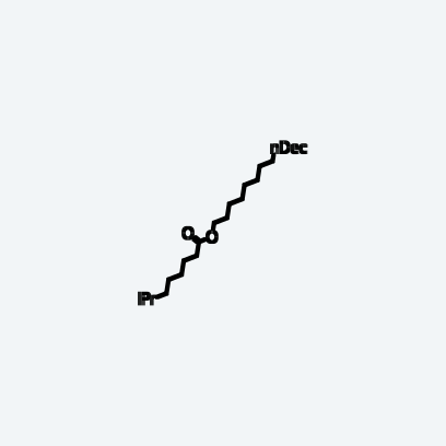 CCCCCCCCCCCCCCCCCCOC(=O)CCCCCC(C)C